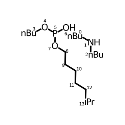 CCCCNCCCC.CCCCOP(O)OCCCCCC(C)C